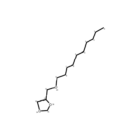 CCCCCCCCCCOCC1COCO1